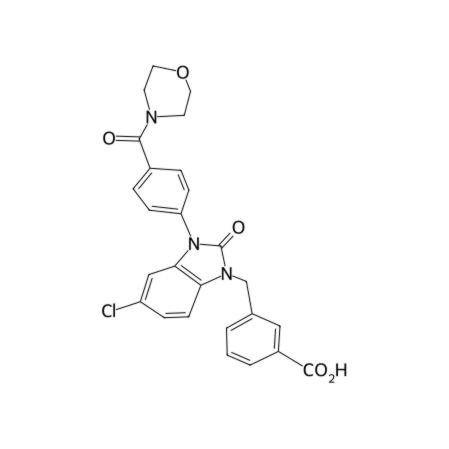 O=C(O)c1cccc(Cn2c(=O)n(-c3ccc(C(=O)N4CCOCC4)cc3)c3cc(Cl)ccc32)c1